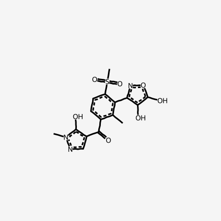 Cc1c(C(=O)c2cnn(C)c2O)ccc(S(C)(=O)=O)c1-c1noc(O)c1O